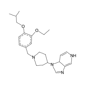 CCOc1cc(CN2CCC(N3C=NC4=CNC=CC43)CC2)ccc1OCC(C)C